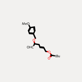 COc1ccc(COC(C=O)CC=CCOC(=O)C(C)(C)C)cc1